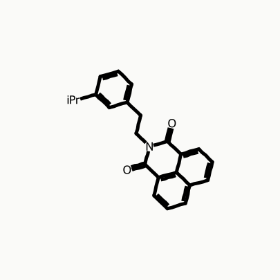 CC(C)c1cccc(CCN2C(=O)c3cccc4cccc(c34)C2=O)c1